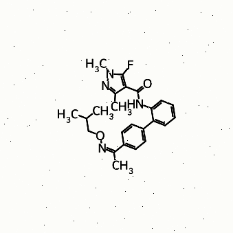 C/C(=N/OCC(C)C)c1ccc(-c2ccccc2NC(=O)c2c(C)nn(C)c2F)cc1